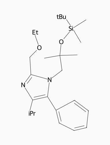 CCOCc1nc(C(C)C)c(-c2ccccc2)n1CC(C)(C)O[Si](C)(C)C(C)(C)C